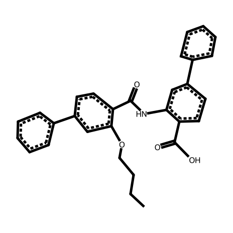 CCCCOc1cc(-c2ccccc2)ccc1C(=O)Nc1cc(-c2ccccc2)ccc1C(=O)O